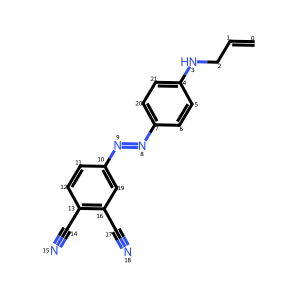 C=CCNc1ccc(/N=N/c2ccc(C#N)c(C#N)c2)cc1